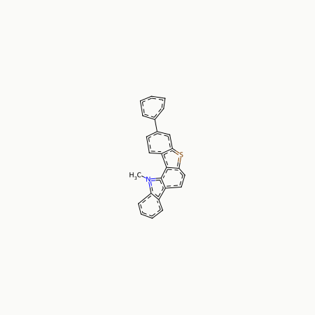 Cn1c2ccccc2c2ccc3sc4cc(-c5ccccc5)ccc4c3c21